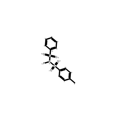 Cc1ccc(S(=O)(=O)N(F)S(=O)(=O)c2ccccc2)cc1